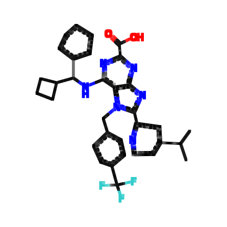 CC(C)c1ccnc(-c2nc3nc(C(=O)O)nc(NC(c4ccccc4)C4CCC4)c3n2Cc2ccc(C(F)(F)F)cc2)c1